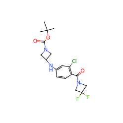 CC(C)(C)OC(=O)N1CC(Nc2ccc(C(=O)N3CC(F)(F)C3)c(Cl)c2)C1